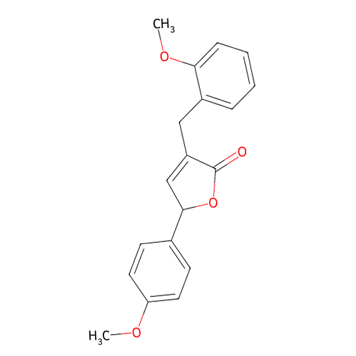 COc1ccc(C2C=C(Cc3ccccc3OC)C(=O)O2)cc1